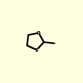 [CH2]C1OCCS1